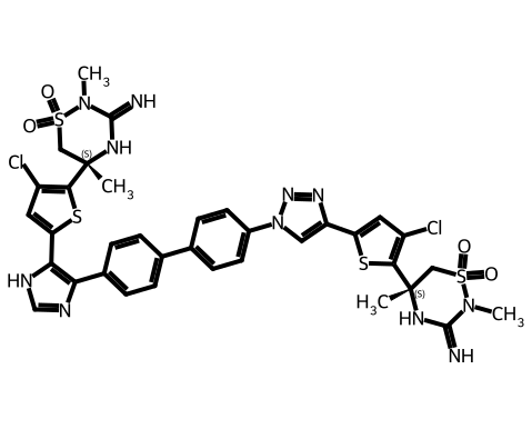 CN1C(=N)N[C@](C)(c2sc(-c3cn(-c4ccc(-c5ccc(-c6nc[nH]c6-c6cc(Cl)c([C@]7(C)CS(=O)(=O)N(C)C(=N)N7)s6)cc5)cc4)nn3)cc2Cl)CS1(=O)=O